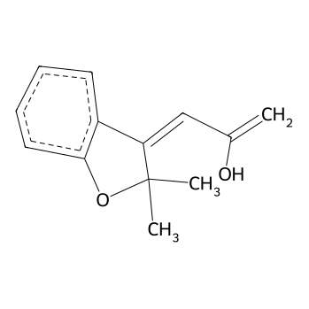 C=C(O)/C=C1/c2ccccc2OC1(C)C